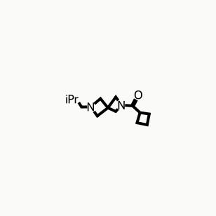 CC(C)CN1CC2(C1)CN(C(=O)C1CCC1)C2